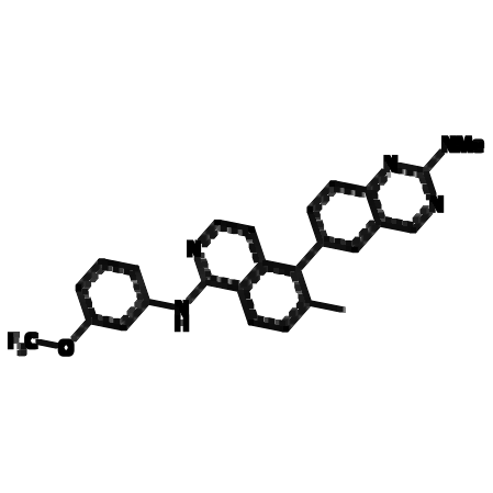 CNc1ncc2cc(-c3c(C)ccc4c(Nc5cccc(OC(F)(F)F)c5)nccc34)ccc2n1